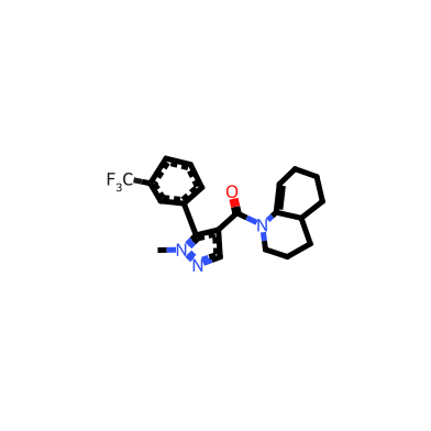 Cn1ncc(C(=O)N2CCCC3CCCC=C32)c1-c1cccc(C(F)(F)F)c1